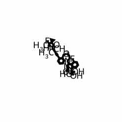 CC(C)(C#Cc1cccc2c1COCCN2c1nc(=O)n(C(O)(O)O)c2cccc(F)c12)NC(=O)C1(C(C)(F)F)CC1